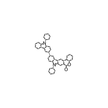 O=c1oc2ccccc2c2cc3c4cc(-c5ccc6c(c5)c5ccccc5n6-c5ccccc5)ccc4n(-c4ccccc4)c3cc12